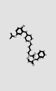 CC(C)Oc1ccc(Br)c(CC2CCN(CCCCn3ncc(=O)n(Cc4ccccc4)c3=O)CC2)c1